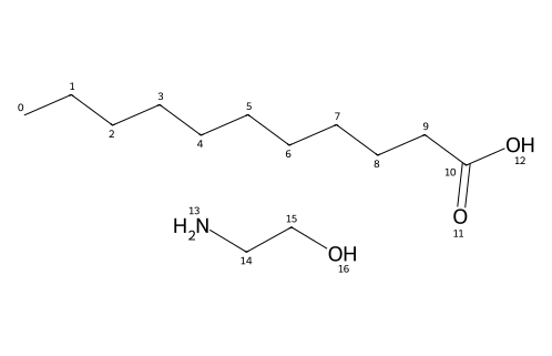 CCCCCCCCCCC(=O)O.NCCO